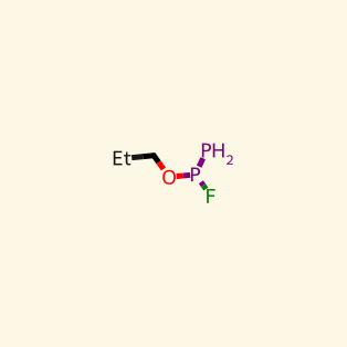 CCCOP(F)P